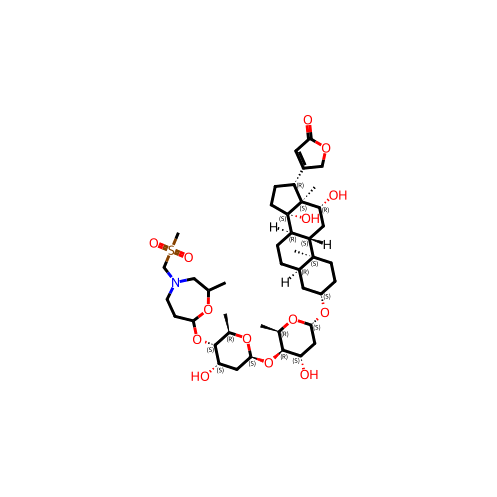 CC1CN(CS(C)(=O)=O)CCC(O[C@H]2[C@@H](O)C[C@H](O[C@@H]3[C@@H](O)C[C@@H](O[C@H]4CC[C@@]5(C)[C@H](CC[C@@H]6[C@@H]5C[C@@H](O)[C@]5(C)[C@@H](C7=CC(=O)OC7)CC[C@]65O)C4)O[C@@H]3C)O[C@@H]2C)O1